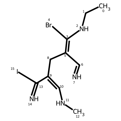 CCN/C(Br)=C(\C=N)C/C(=C/NC)C(=N)I